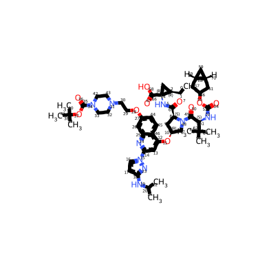 CC[C@@H]1C[C@]1(NC(=O)[C@@H]1C[C@@H](Oc2cc(-n3ccc(NC(C)C)n3)nc3cc(OCCN4CCN(C(=O)OC(C)(C)C)CC4)ccc23)CN1C(=O)[C@@H](NC(=O)OC1C[C@@H]2C[C@@H]2C1)C(C)(C)C)C(=O)O